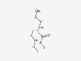 CCC(C)=O.CCOCC.OCCO